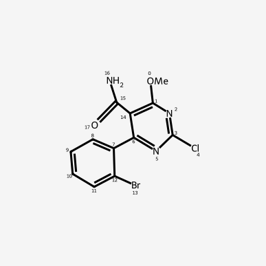 COc1nc(Cl)nc(-c2ccccc2Br)c1C(N)=O